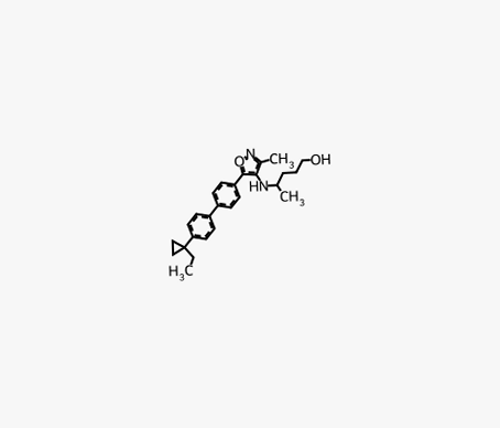 CCC1(c2ccc(-c3ccc(-c4onc(C)c4NC(C)CCCO)cc3)cc2)CC1